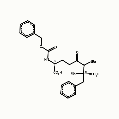 CC(C)(C)N(C(=O)CC[C@H](NC(=O)OCc1ccccc1)C(=O)O)[C@](Cc1ccccc1)(C(=O)O)C(C)(C)C